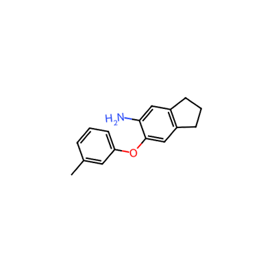 Cc1cccc(Oc2cc3c(cc2N)CCC3)c1